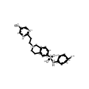 CC(C)(C)c1cnc(CCN2CCc3cc(S(=O)(=O)Nc4ccc(F)cc4)ccc3C2)nc1